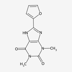 Cn1c(=O)c2[nH]c(-c3ccco3)nc2n(C)c1=O